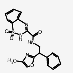 Cc1coc(C(CNC(=O)C2=Nc3ccccc3S(=O)(=O)N2)c2ccccc2)n1